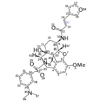 COc1ccc2c3c1O[C@H]1[C@H](NC(=O)/C=C/c4ccoc4)CC[C@@]4(O)[C@@H](C2)N(S(=O)(=O)c2cccc(N(C)C)c2)CC[C@]314